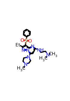 CCc1nn2c(N3CCN(C)CC3)cc(NCCN(C)C)nc2c1S(=O)(=O)c1ccccc1